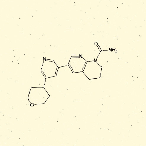 NC(=O)N1CCCc2cc(-c3cncc(C4CCOCC4)c3)cnc21